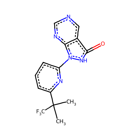 CC(C)(c1cccc(-n2[nH]c(=O)c3cncnc32)n1)C(F)(F)F